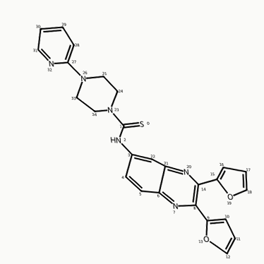 S=C(Nc1ccc2nc(-c3ccco3)c(-c3ccco3)nc2c1)N1CCN(c2ccccn2)CC1